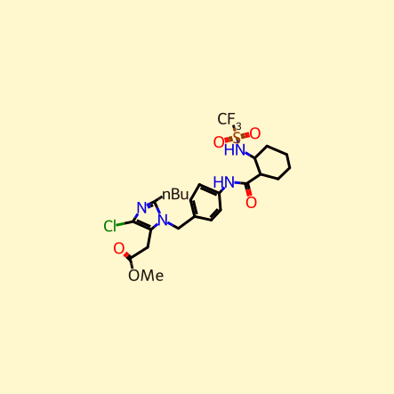 CCCCc1nc(Cl)c(CC(=O)OC)n1Cc1ccc(NC(=O)C2CCCCC2NS(=O)(=O)C(F)(F)F)cc1